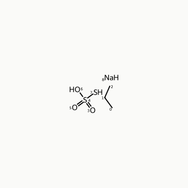 CCC.O=S(=O)(O)S.[NaH]